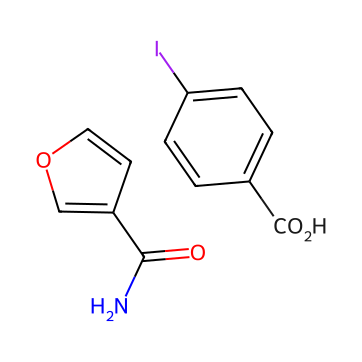 NC(=O)c1ccoc1.O=C(O)c1ccc(I)cc1